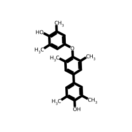 Cc1cc(Oc2c(C)cc(-c3cc(C)c(O)c(C)c3)cc2C)cc(C)c1O